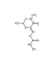 CNC(=O)ON=C1OC(C)CN(C)C1=O